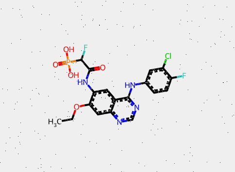 CCOc1cc2ncnc(Nc3ccc(F)c(Cl)c3)c2cc1NC(=O)C(F)P(=O)(O)O